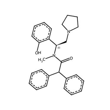 CN(C(=O)C(c1ccccc1)c1ccccc1)[C@H](CN1CCCC1)c1ccccc1O